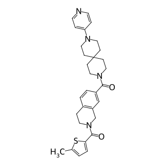 Cc1ccc(C(=O)N2CCc3ccc(C(=O)N4CCC5(CC4)CCN(c4ccncc4)CC5)cc3C2)s1